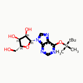 CC(C)(C)[Si](C)(C)Oc1ncnc2c1ncn2[C@@H]1O[C@H](CO)[C@@H](O)[C@H]1O